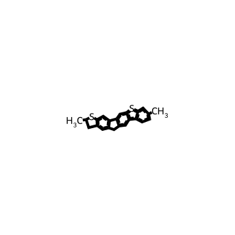 Cc1ccc2c(c1)sc1cc3c(cc12)Cc1cc2c(cc1-3)SC(C)C2